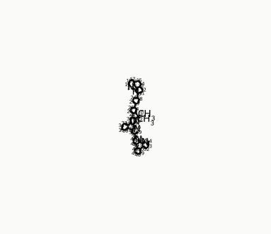 CC1(C)c2cc(-c3ccc(-c4ccc5ccc6cccnc6c5n4)cc3)ccc2-c2cc3c4ccccc4c4cc(-c5ccc6c7ccccc7c7cccnc7c6n5)cnc4c3nc21